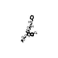 COc1ccc2nc(OCC(=O)OC(C)(C)C)c3cnn(CC(=O)NCCNCC4CCCCC4)c3c2c1